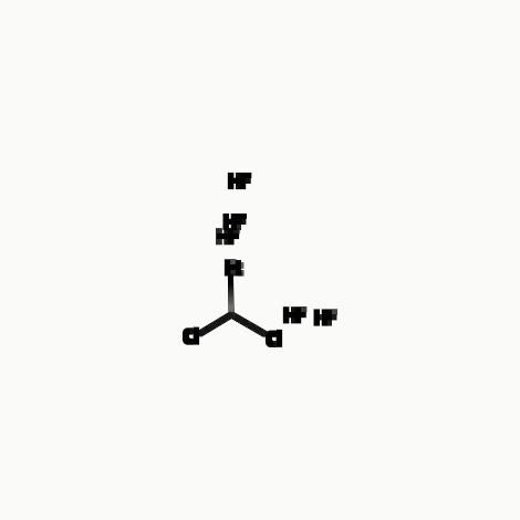 CCC(Cl)Cl.F.F.F.F.F